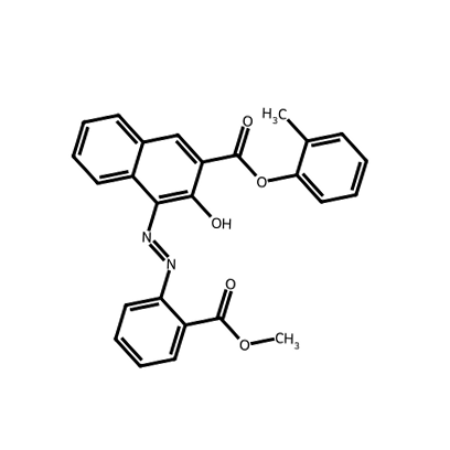 COC(=O)c1ccccc1N=Nc1c(O)c(C(=O)Oc2ccccc2C)cc2ccccc12